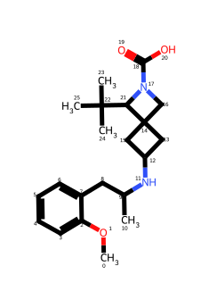 COc1ccccc1CC(C)NC1CC2(C1)CN(C(=O)O)C2C(C)(C)C